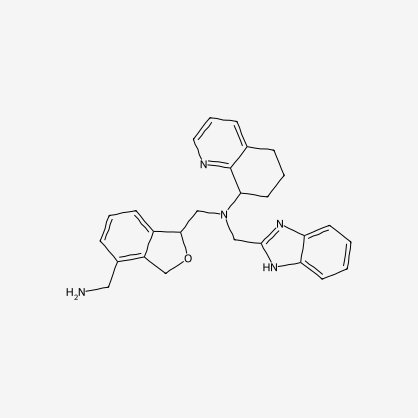 NCc1cccc2c1COC2CN(Cc1nc2ccccc2[nH]1)C1CCCc2cccnc21